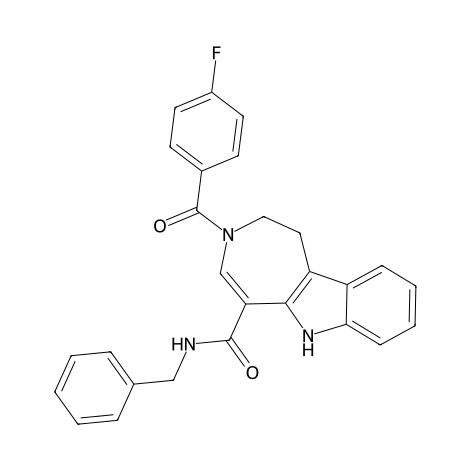 O=C(NCc1ccccc1)C1=CN(C(=O)c2ccc(F)cc2)CCc2c1[nH]c1ccccc21